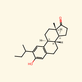 CCC(C)c1cc2c(cc1O)CC[C@@H]1[C@@H]2CC[C@]2(C)C(=O)CC[C@@H]12